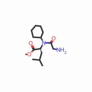 COC(=O)[C@H](CC(C)C)N(C(=O)CN)C1CCCCC1